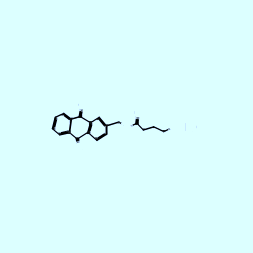 O=[C]CCCC(=O)O[CH]c1ccc2c(c1)C(=O)c1ccccc1C2=O